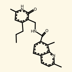 CCCc1cc(C)[nH]c(=O)c1CNC(=O)c1ccc2ccc(C)nc2c1C